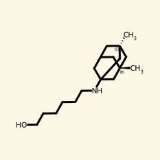 C[C@]12CC3CC(NCCCCCCO)(C1)C[C@@](C)(C3)C2